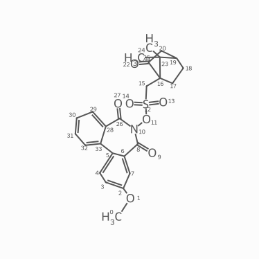 COc1ccc2c(c1)c(=O)n(OS(=O)(=O)CC13CCC(CC1=O)C3(C)C)c(=O)c1ccccc12